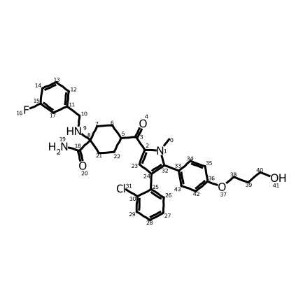 Cn1c(C(=O)C2CCC(NCc3cccc(F)c3)(C(N)=O)CC2)cc(-c2ccccc2Cl)c1-c1ccc(OCCCO)cc1